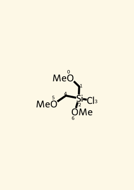 COC[Si](Cl)(COC)OC